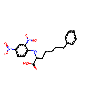 O=C(O)C(CCCCCc1ccccc1)Nc1ccc([N+](=O)[O-])cc1[N+](=O)[O-]